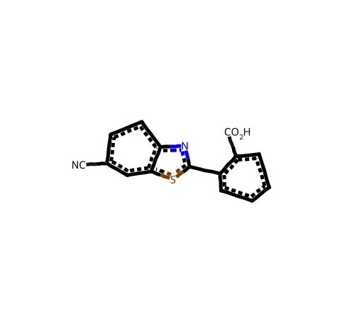 N#Cc1ccc2nc(-c3ccccc3C(=O)O)sc2c1